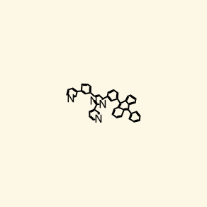 c1ccc(-c2c3ccccc3c(-c3cccc(-c4cc(-c5cccc(-c6cccnc6)c5)nc(-c5cccnc5)n4)c3)c3ccccc23)cc1